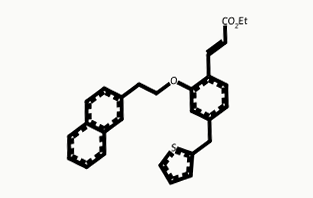 CCOC(=O)/C=C/c1ccc(Cc2cccs2)cc1OCCc1ccc2ccccc2c1